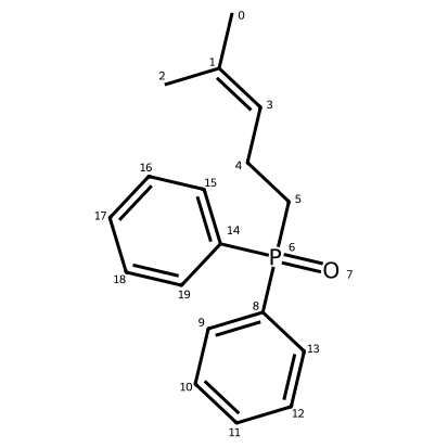 CC(C)=CCCP(=O)(c1ccccc1)c1ccccc1